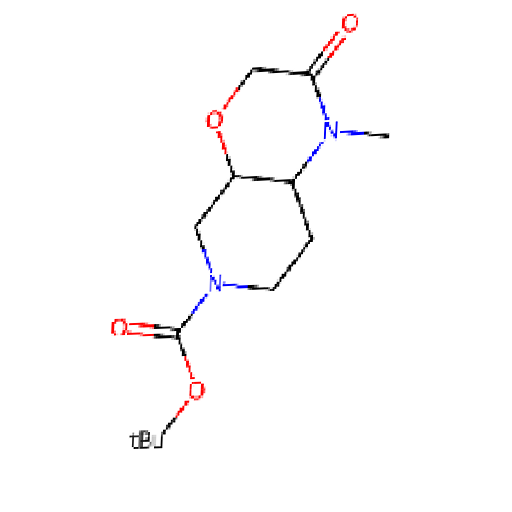 CN1C(=O)COC2CN(C(=O)OC(C)(C)C)CCC21